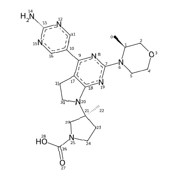 C[C@H]1COCCN1c1nc(-c2cnc(N)nc2)c2c(n1)N([C@@]1(C)CCN(C(=O)O)C1)CC2